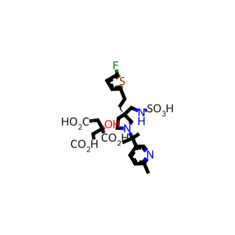 Cc1ccc(C(C)(C)N2CC[C@@](CCc3ccc(F)s3)(CNS(=O)(=O)O)C2)cn1.O=C(O)CC(O)(CC(=O)O)C(=O)O